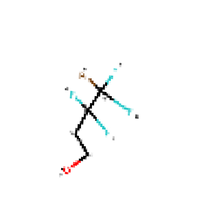 [O]CCC(F)(F)C(F)(F)Br